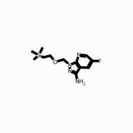 C[Si](C)(C)CCOCn1nc(N)c2cc(F)cnc21